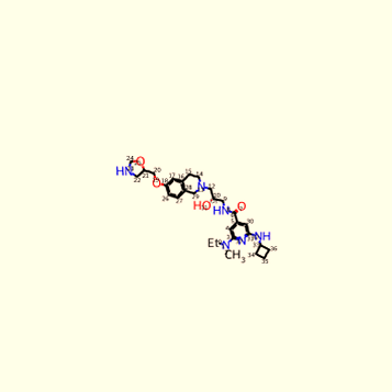 CCN(C)c1cc(C(=O)NC[C@H](O)CN2CCc3cc(OCC4CNCO4)ccc3C2)cc(NC2CCC2)n1